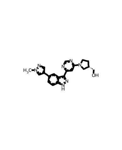 Cn1cc(-c2ccc3[nH]nc(-c4cc(N5CC[C@H](CO)C5)ncn4)c3c2)cn1